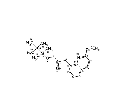 COc1cnc2cccc(C[C@@H](O)CO[Si](C)(C)C(C)(C)C)c2n1